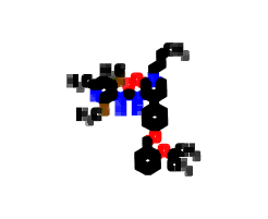 CCCCn1ccc(-c2ccc(OCc3ccccc3OC(C)C)cc2)c(NC(=O)Nc2c(SC)cc(C)nc2SC)c1=O